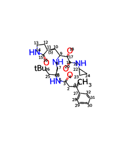 C[C@@H](CC(=O)N[C@H](CNC(C[C@@H]1CCNC1=O)C(=O)C(=O)NC1CC1)CC(C)(C)C)c1ccccc1